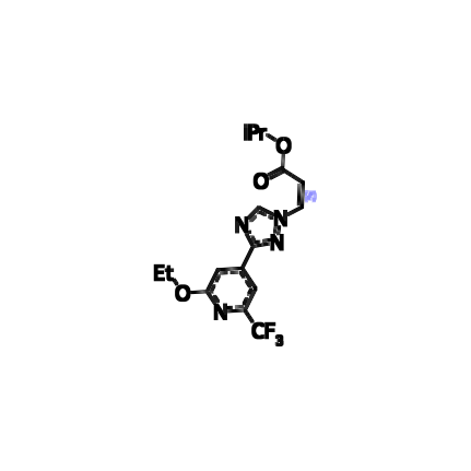 CCOc1cc(-c2ncn(/C=C\C(=O)OC(C)C)n2)cc(C(F)(F)F)n1